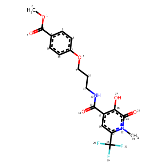 COC(=O)c1ccc(OCCCNC(=O)c2cc(C(F)(F)F)n(C)c(=O)c2O)cc1